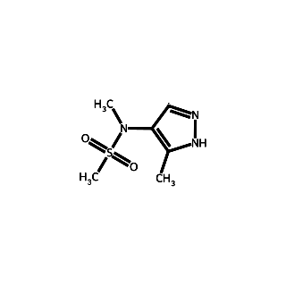 Cc1[nH]n[c]c1N(C)S(C)(=O)=O